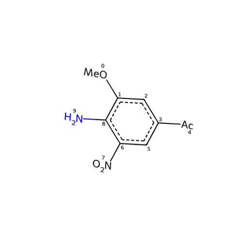 COc1cc(C(C)=O)cc([N+](=O)[O-])c1N